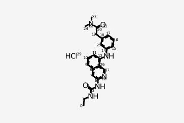 CCNC(=O)Nc1cc2cccc(Nc3cccc(CC(=O)N(C)C)c3)c2cn1.Cl